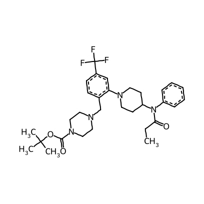 CCC(=O)N(c1ccccc1)C1CCN(c2cc(C(F)(F)F)ccc2CN2CCN(C(=O)OC(C)(C)C)CC2)CC1